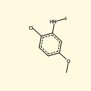 COc1ccc(Cl)c(NI)c1